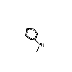 CPc1cc[c]cc1